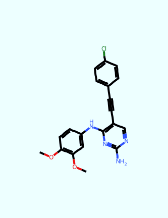 COc1ccc(Nc2nc(N)ncc2C#Cc2ccc(Cl)cc2)cc1OC